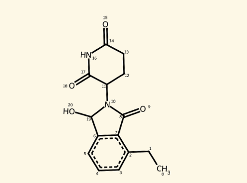 CCc1cccc2c1C(=O)N(C1CCC(=O)NC1=O)C2O